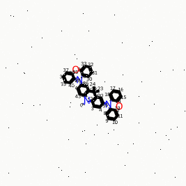 CN1c2ccc(N3c4ccccc4Oc4ccccc43)cc2C(C)(C)c2cc(N3c4ccccc4Oc4ccccc43)ccc21